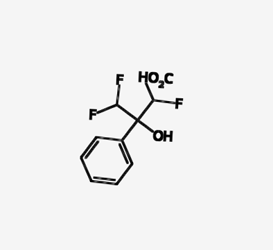 O=C(O)C(F)C(O)(c1ccccc1)C(F)F